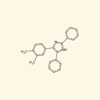 Cc1ccc(-c2nc(-c3ccccc3)[nH]c2-c2ccccc2)cc1C